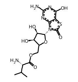 CC(C)[C@H](N)C(=O)OCC1O[C@@H](n2c(=O)sc3c(O)nc(N)nc32)[C@H](O)[C@@H]1O